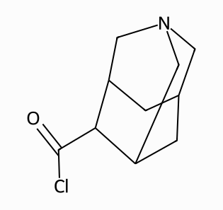 O=C(Cl)C1C2CC3CC1CN(C3)C2